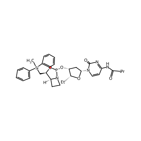 CC[C@H]1O[C@@H](n2ccc(NC(=O)C(C)C)nc2=O)C[C@H]1O[P@@]1O[C@H](C[Si](C)(c2ccccc2)c2ccccc2)[C@@H]2CCN21